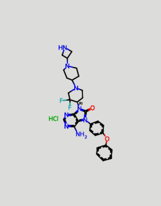 Cl.Nc1ncnc2c1n(-c1ccc(Oc3ccccc3)cc1)c(=O)n2[C@@H]1CCN(C2CCN(C3CNC3)CC2)CC1(F)F